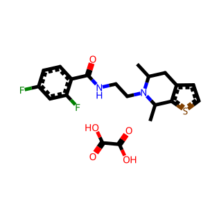 CC1Cc2ccsc2C(C)N1CCNC(=O)c1ccc(F)cc1F.O=C(O)C(=O)O